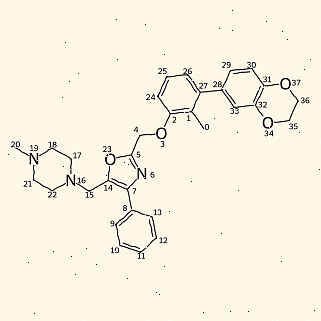 Cc1c(OCc2nc(-c3ccccc3)c(CN3CCN(C)CC3)o2)cccc1-c1ccc2c(c1)OCCO2